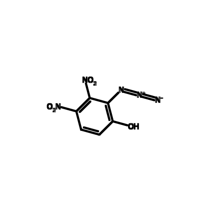 [N-]=[N+]=Nc1c(O)ccc([N+](=O)[O-])c1[N+](=O)[O-]